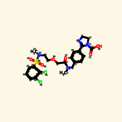 CN(Cc1ccc(C2=NCCN2C(=O)O)cc1)C(=O)COCCN(C)S(=O)(=O)c1cccc(Cl)c1Cl